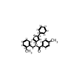 Cc1ccc(C(=O)N(Cc2ccccc2C)c2csc(-c3ccccc3)c2)cc1